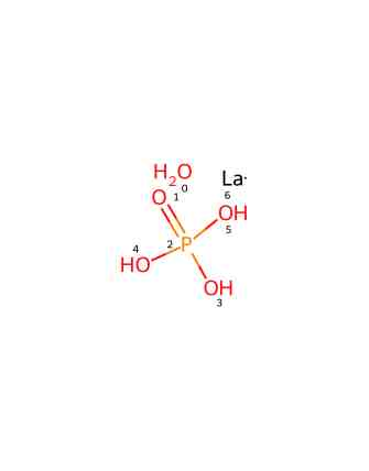 O.O=P(O)(O)O.[La]